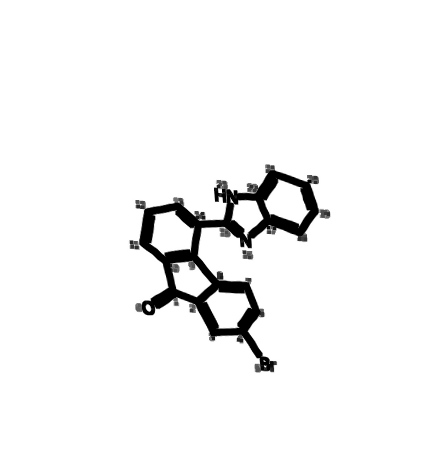 O=C1c2cc(Br)ccc2-c2c1cccc2-c1nc2ccccc2[nH]1